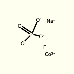 O=P([O-])([O-])[O-].[Co+2].[F].[Na+]